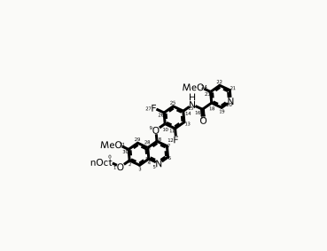 CCCCCCCCOc1cc2nccc(Oc3c(F)cc(NC(=O)c4cnccc4OC)cc3F)c2cc1OC